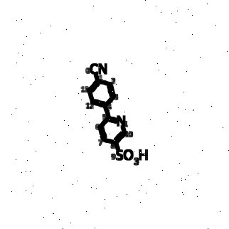 N#Cc1ccc(-c2ccc(S(=O)(=O)O)cn2)cc1